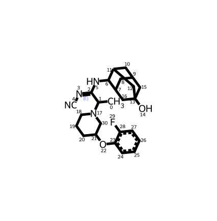 CC(/C(=N\C#N)NC1C2CC3CC1CC(O)(C3)C2)N1CCCC(Oc2ccccc2F)C1